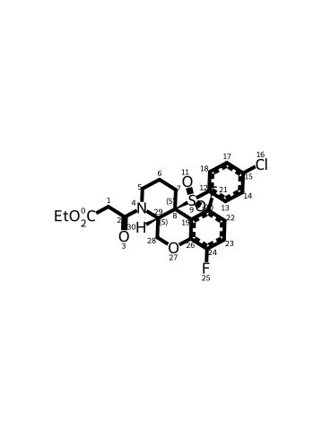 CCOC(=O)CC(=O)N1CCC[C@]2(S(=O)(=O)c3ccc(Cl)cc3)c3c(F)ccc(F)c3OC[C@H]12